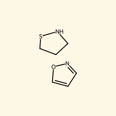 C1CNSC1.c1cnoc1